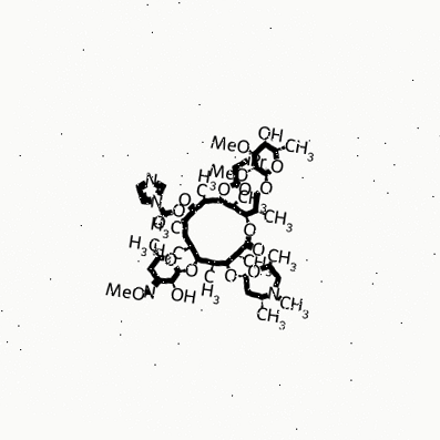 CON=C1C[C@@H](C)O[C@@H](O[C@@H]2[C@@H](C)[C@H](O[C@H]3C[C@@H](C)N(C)C[C@H](C)O3)[C@@H](C)C(=O)O[C@H]([C@@H](C)CO[C@@H]3O[C@H](C)[C@@H](O)[C@@H](OC)[C@H]3OC)[C@H](C)[C@@H](OC(=O)CC(C)C)[C@@H](C)C(=O)[C@@](C)(OC(=O)n3ccnc3)C[C@@H]2C)[C@@H]1O